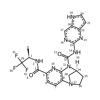 C[C@@H](NC(=O)c1ccc2c(n1)N(C(=O)Nc1ncc3[nH]ccc3n1)[C@H]1CCN2C1)C(F)(F)F